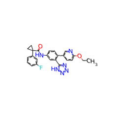 CCOc1ccc(-c2ccc(NC(=O)C3(c4cccc(F)c4)CC3)cc2-c2nnn[nH]2)cn1